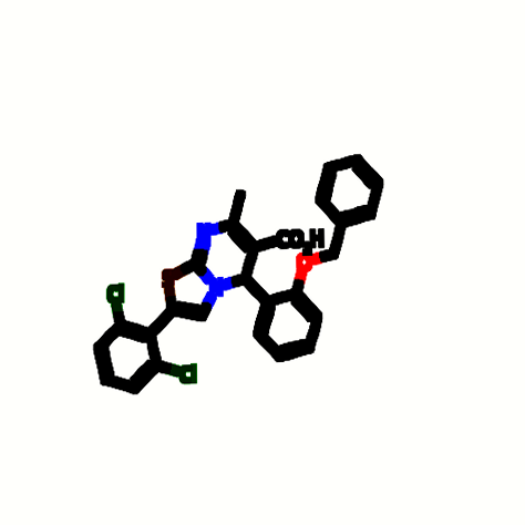 CC1=C(C(=O)O)C(c2ccccc2OCc2ccccc2)N2C=C(c3c(Cl)cccc3Cl)SC2=N1